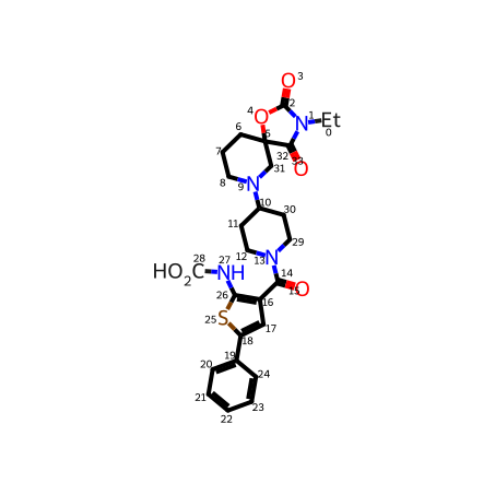 CCN1C(=O)OC2(CCCN(C3CCN(C(=O)c4cc(-c5ccccc5)sc4NC(=O)O)CC3)C2)C1=O